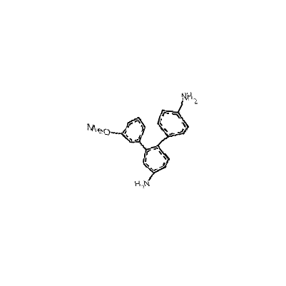 COc1cccc(-c2cc(N)ccc2-c2ccc(N)cc2)c1